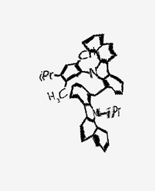 Cc1cc(-n2c3c(-c4cccc5c6ccc7ccccc7c6n(C(C)C)c45)cccc3c3ccc4ccccc4c32)c(C)cc1C(C)C